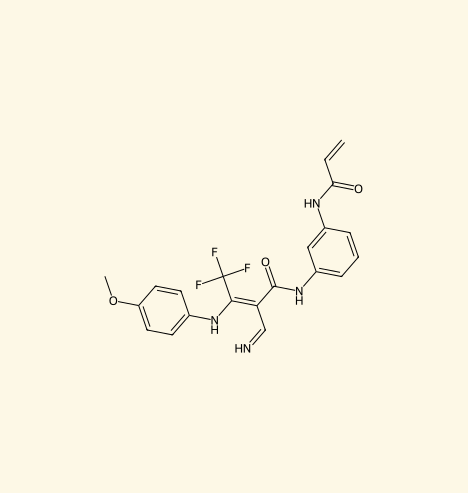 C=CC(=O)Nc1cccc(NC(=O)/C(C=N)=C(/Nc2ccc(OC)cc2)C(F)(F)F)c1